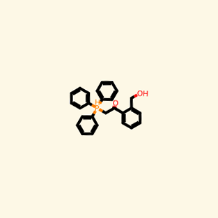 O=C(C[PH](c1ccccc1)(c1ccccc1)c1ccccc1)c1ccccc1CO